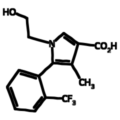 Cc1c(C(=O)O)cn(CCO)c1-c1ccccc1C(F)(F)F